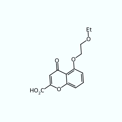 CCOCCOc1cccc2oc(C(=O)O)cc(=O)c12